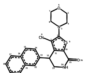 [C-]#[N+]c1c(N2CCOCC2)sc2c1C(c1ccc3ccccc3c1)CNC2=O